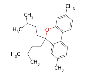 Cc1ccc2c(c1)OC(CCC(C)C)(CCC(C)C)c1cc(C)ccc1-2